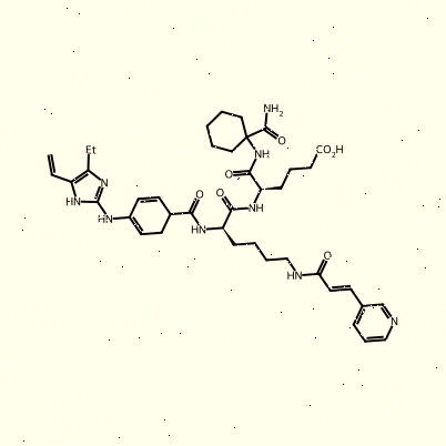 C=Cc1[nH]c(NC2=CCC(C(=O)N[C@H](CCCCNC(=O)/C=C/c3cccnc3)C(=O)N[C@H](CCCC(=O)O)C(=O)NC3(C(N)=O)CCCCC3)C=C2)nc1CC